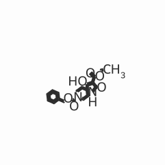 CCOC(=O)C1=C(O)C2(CCN(C(=O)OCc3ccccc3)CC2)NC1=O